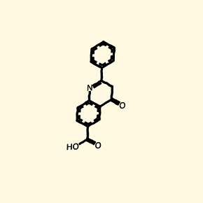 O=C(O)c1ccc2c(c1)C(=O)CC(c1ccccc1)=N2